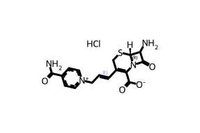 Cl.NC(=O)c1cc[n+](C/C=C/C2=C(C(=O)[O-])N3C(=O)C(N)[C@H]3SC2)cc1